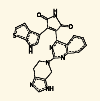 O=C1NC(=O)C(c2c[nH]c3sccc23)=C1c1nc(N2CCc3nc[nH]c3C2)nc2ccccc12